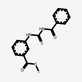 O=C(NC(=S)Nc1cccc(C(=O)OI)c1)c1ccccc1